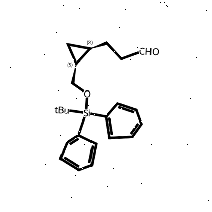 CC(C)(C)[Si](OC[C@H]1C[C@H]1CCC=O)(c1ccccc1)c1ccccc1